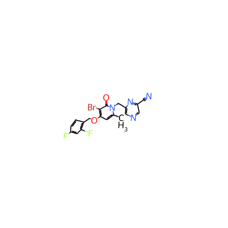 Cc1cc(OCc2ccc(F)cc2F)c(Br)c(=O)n1Cc1cncc(C#N)n1